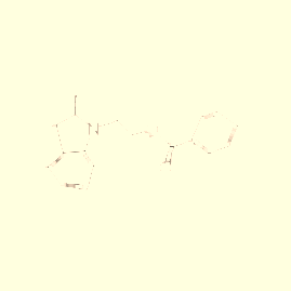 CC1Cc2ccccc2N1CCOC(=O)c1ccccc1